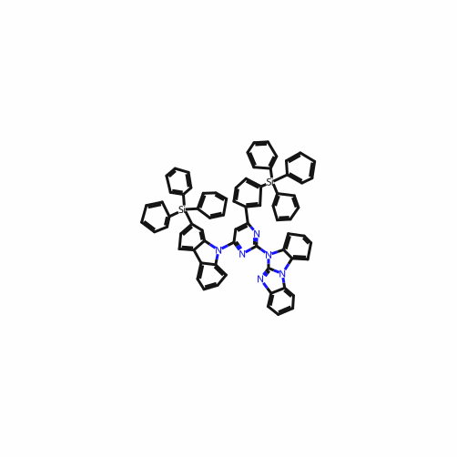 c1ccc([Si](c2ccccc2)(c2ccccc2)c2cccc(-c3cc(-n4c5ccccc5c5ccc([Si](c6ccccc6)(c6ccccc6)c6ccccc6)cc54)nc(-n4c5ccccc5n5c6ccccc6nc45)n3)c2)cc1